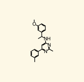 COc1cccc(C(C)Nc2cc(-c3cccc(C)c3)nc(C)n2)c1